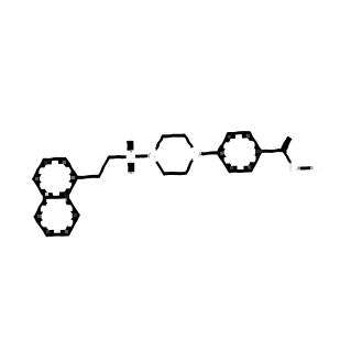 O=C(NO)c1ccc(N2CCN(S(=O)(=O)CCc3cccc4ccccc34)CC2)cc1